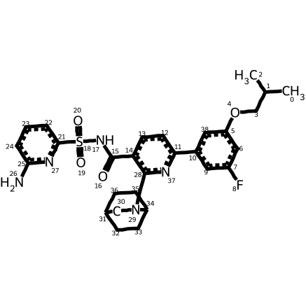 CC(C)COc1cc(F)cc(-c2ccc(C(=O)NS(=O)(=O)c3cccc(N)n3)c(N3CC4CCC3CC4)n2)c1